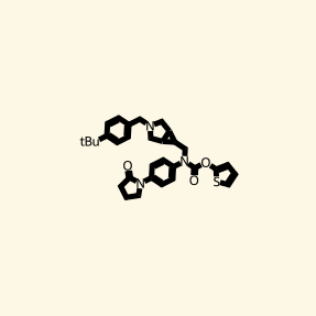 CC(C)(C)c1ccc(CN2CC3C(C2)C3CN(C(=O)Oc2cccs2)c2ccc(N3CCCC3=O)cc2)cc1